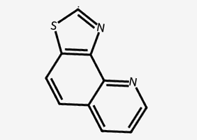 [c]1nc2c(ccc3cccnc32)s1